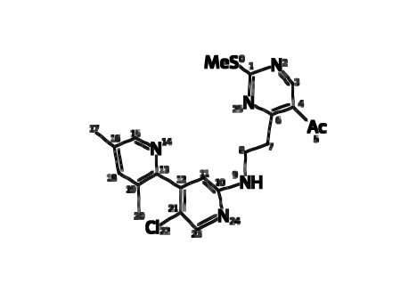 CSc1ncc(C(C)=O)c(CCNc2cc(-c3ncc(C)cc3C)c(Cl)cn2)n1